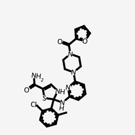 Cc1cccc(Cl)c1C1(Nc2cccc(N3CCN(C(=O)c4ccco4)CC3)n2)NC=C(C(N)=O)S1